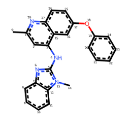 Cc1cc(Nc2nc3ccccc3n2C)c2cc(Oc3ccccc3)ccc2n1